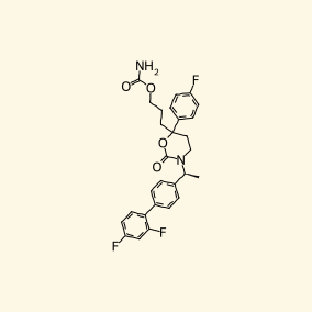 C[C@@H](c1ccc(-c2ccc(F)cc2F)cc1)N1CCC(CCCOC(N)=O)(c2ccc(F)cc2)OC1=O